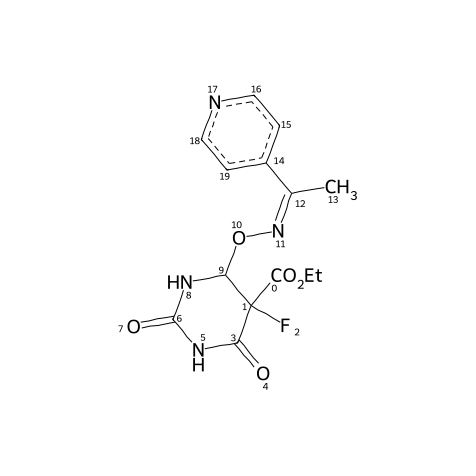 CCOC(=O)C1(F)C(=O)NC(=O)NC1ON=C(C)c1ccncc1